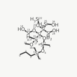 CCC[Si](C)(C)O[Si](C)(C)O[Si](O[SiH2]O)([Si](C)(C)OC)[Si](O[SiH3])([SiH2]O)[SiH2]O